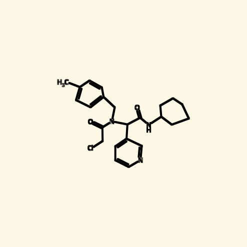 Cc1ccc(CN(C(=O)CCl)C(C(=O)NC2CCCCC2)c2cccnc2)cc1